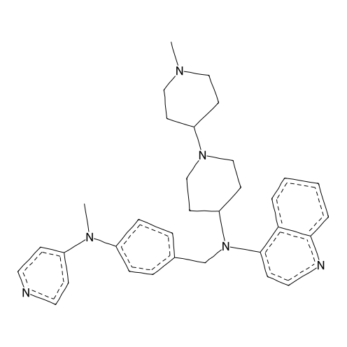 CN1CCC(N2CCC(N(Cc3ccc(N(C)c4ccncc4)cc3)c3ccnc4ccccc34)CC2)CC1